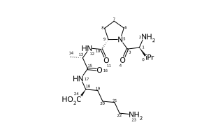 CC(C)[C@H](N)C(=O)N1CCC[C@H]1C(=O)N[C@@H](C)C(=O)N[C@@H](CCCCN)C(=O)O